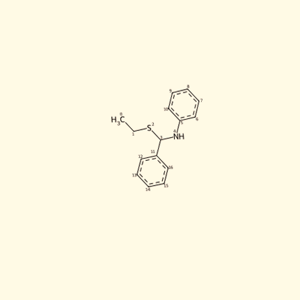 CCSC(Nc1ccccc1)c1ccccc1